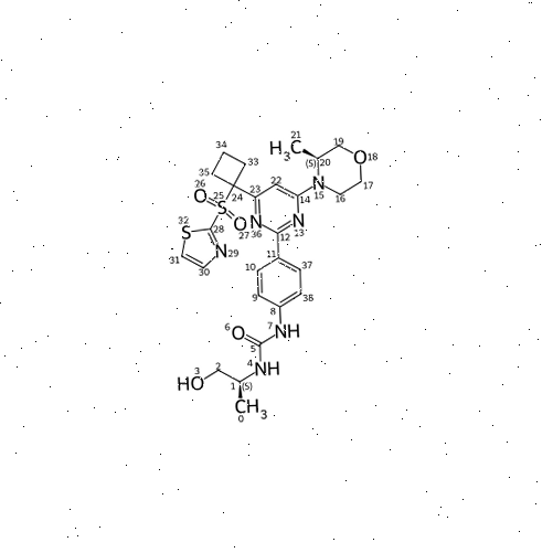 C[C@@H](CO)NC(=O)Nc1ccc(-c2nc(N3CCOC[C@@H]3C)cc(C3(S(=O)(=O)c4nccs4)CCC3)n2)cc1